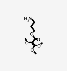 COC(OC)=C(OC)C(=O)OCCC[SiH3]